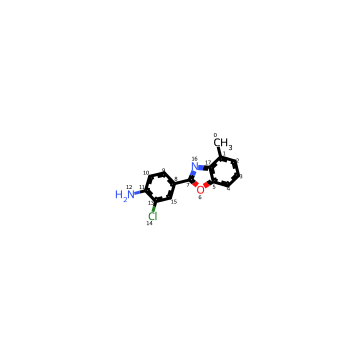 Cc1cccc2oc(-c3ccc(N)c(Cl)c3)nc12